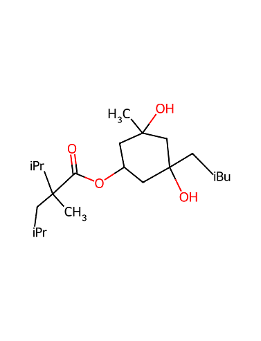 CCC(C)CC1(O)CC(OC(=O)C(C)(CC(C)C)C(C)C)CC(C)(O)C1